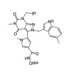 CONC(=O)c1cc(-c2c3c(=O)n(C)c(=O)n(CC(C)C)c3nn2Cc2c[nH]c3ccc(C)cc23)n(C)c1